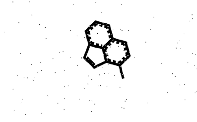 Cc1ccc2cccc3c2c1C=[C]3